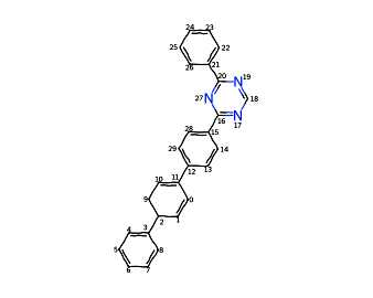 C1=CC(c2ccccc2)CC=C1c1ccc(-c2ncnc(-c3ccccc3)n2)cc1